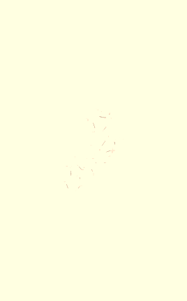 Cc1cccc2nc(C(F)(F)F)c(C(=O)N3CCc4c(nn(C)c4-c4cc(F)c(F)c(F)c4)C3)n12